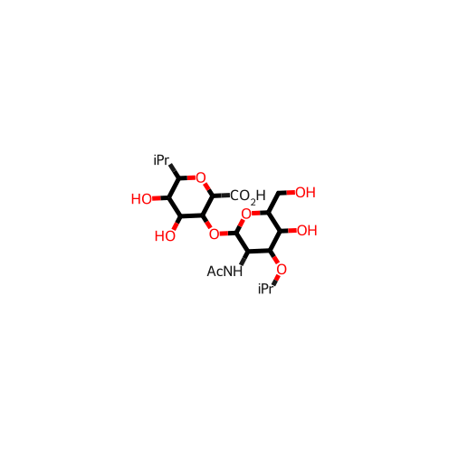 CC(=O)NC1C(OC2C(C(=O)O)OC(C(C)C)C(O)C2O)OC(CO)C(O)C1OC(C)C